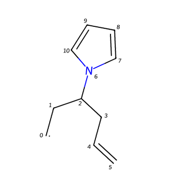 [CH2]CC(CC=C)n1cccc1